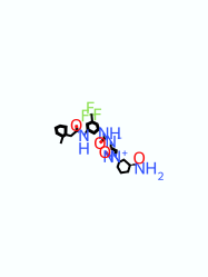 Cc1ccccc1CC(=O)Nc1cc(NC(=O)[N-]c2c[n+]([C@@H]3CCC[C@H](C(N)=O)C3)no2)cc(C(F)(F)F)c1